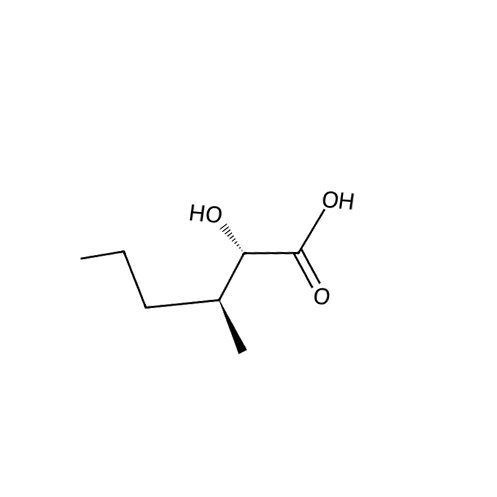 CCC[C@H](C)[C@H](O)C(=O)O